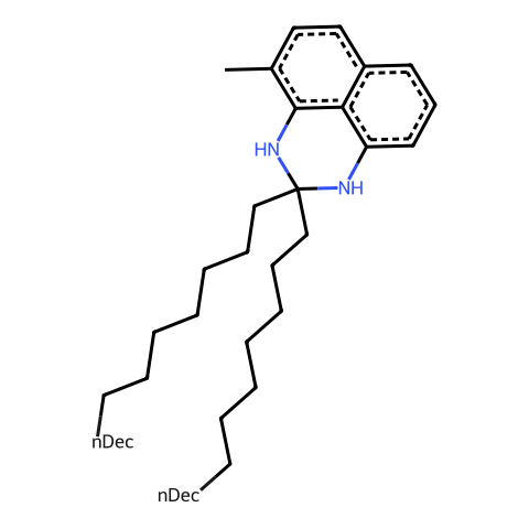 CCCCCCCCCCCCCCCCCC1(CCCCCCCCCCCCCCCCC)Nc2cccc3ccc(C)c(c23)N1